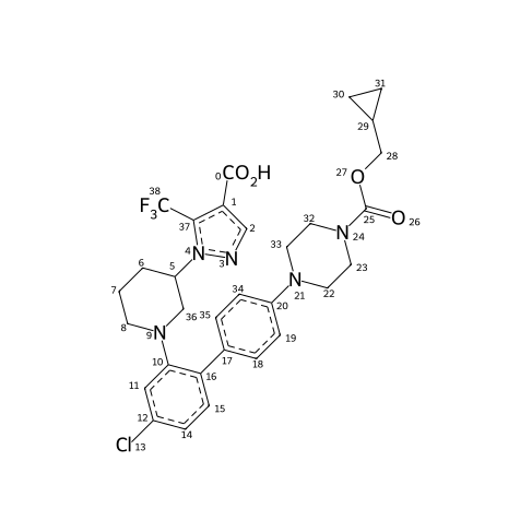 O=C(O)c1cnn(C2CCCN(c3cc(Cl)ccc3-c3ccc(N4CCN(C(=O)OCC5CC5)CC4)cc3)C2)c1C(F)(F)F